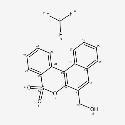 FC(F)F.O=S1(=O)Oc2c(CO)cc3ccccc3c2-c2ccccc21